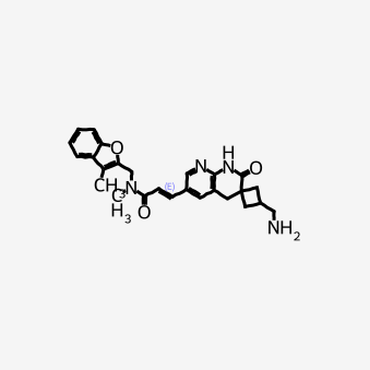 Cc1c(CN(C)C(=O)/C=C/c2cnc3c(c2)CC2(CC(CN)C2)C(=O)N3)oc2ccccc12